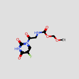 CCOCOC(=O)NCC(=O)n1cc(F)c(=O)[nH]c1=O